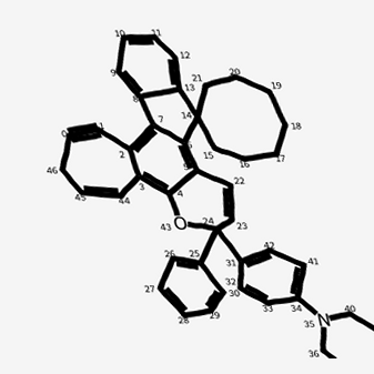 C1#Cc2c(c3c(c4c2-c2ccccc2C42CCCCCCC2)C=CC(c2ccccc2)(c2ccc(N4CCOCC4)cc2)O3)C=CC1